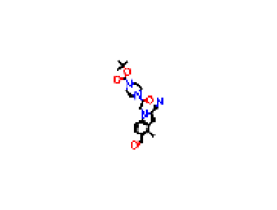 Cc1c(C=O)ccc2c1cc(C#N)n2CC(=O)N1CCN(C(=O)OC(C)(C)C)CC1